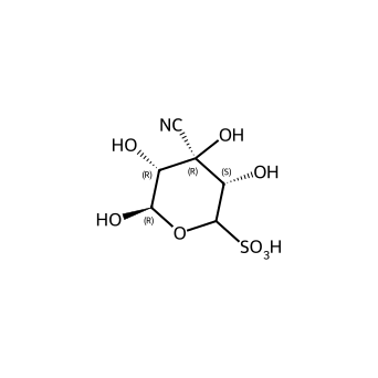 N#C[C@]1(O)[C@H](O)C(S(=O)(=O)O)O[C@@H](O)[C@@H]1O